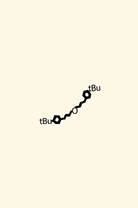 CC(C)(C)c1ccc(CC=CCOCC=CCc2ccc(C(C)(C)C)cc2)cc1